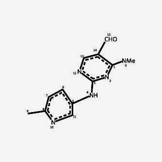 CNc1nc(Nc2ccc(C)nc2)ncc1C=O